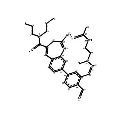 CCCN(CCC)C(=O)C1=Cc2ccc(-c3ccc(C=O)c(/C=N\N(C)CCNC(C)=O)c3)cc2N=C(N)C1